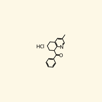 Cc1cnc2c(c1)CCCC2C(=O)c1ccccc1.Cl